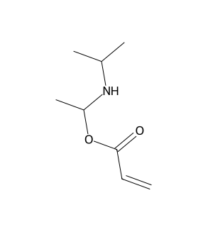 C=CC(=O)OC(C)NC(C)C